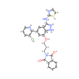 O=C1c2ccccc2C(=O)N1CCCOc1cc(-c2ncccc2Cl)cc2c(Nc3nccs3)n[nH]c12